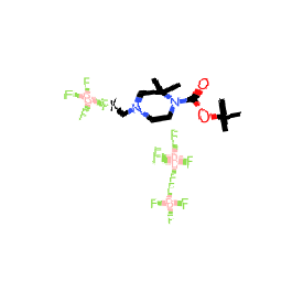 CC(C)(C)OC(=O)N1CCN([CH2][K])CC1(C)C.F[B-](F)(F)F.F[B-](F)(F)F.F[B-](F)(F)F